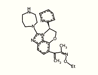 C=C(/C(C)=N\OCC)c1ccc2nc(N3CCCNCC3)n3c2c1OC[C@@H]3c1ccccn1